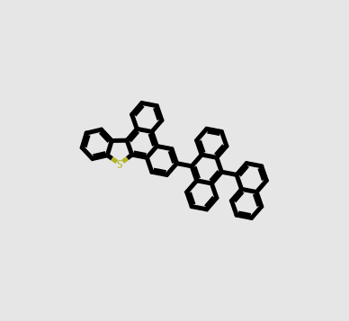 c1ccc2c(-c3c4ccccc4c(-c4ccc5c(c4)c4ccccc4c4c6ccccc6sc54)c4ccccc34)cccc2c1